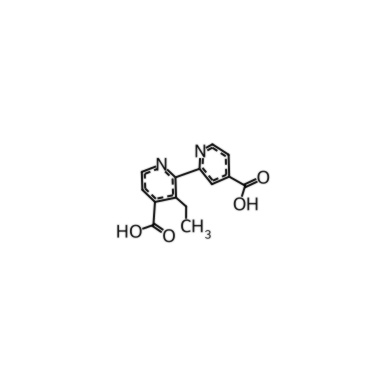 CCc1c(C(=O)O)ccnc1-c1cc(C(=O)O)ccn1